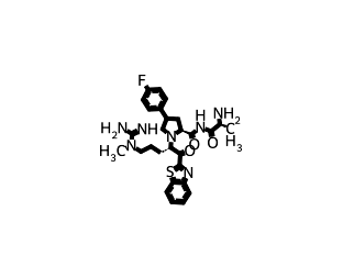 C[C@H](N)C(=O)NC(=O)[C@@H]1CC(c2ccc(F)cc2)CN1[C@@H](CCCN(C)C(=N)N)C(=O)c1nc2ccccc2s1